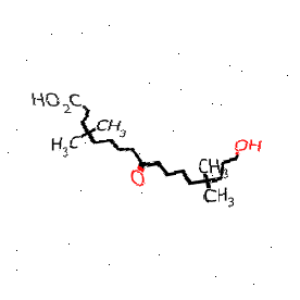 CC(C)(CCCO)CCCCC(=O)CCCCC(C)(C)CCC(=O)O